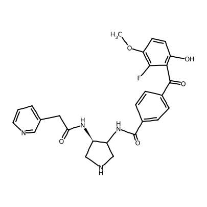 COc1ccc(O)c(C(=O)c2ccc(C(=O)NC3CNC[C@H]3NC(=O)Cc3cccnc3)cc2)c1F